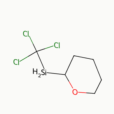 ClC(Cl)(Cl)[SiH2]C1CCCCO1